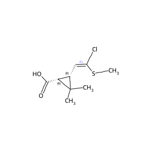 CS/C(Cl)=C\[C@H]1[C@@H](C(=O)O)C1(C)C